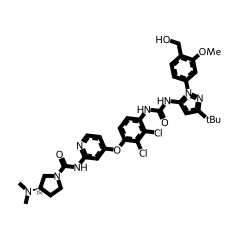 COc1cc(-n2nc(C(C)(C)C)cc2NC(=O)Nc2ccc(Oc3ccnc(NC(=O)N4CC[C@H](N(C)C)C4)c3)c(Cl)c2Cl)ccc1CO